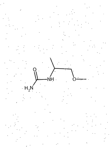 COCC(C)NC(N)=O